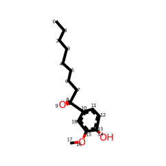 CCCCCCCCC(=O)c1ccc(O)c(OC)c1